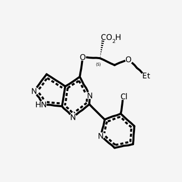 CCOC[C@H](Oc1nc(-c2ncccc2Cl)nc2[nH]ncc12)C(=O)O